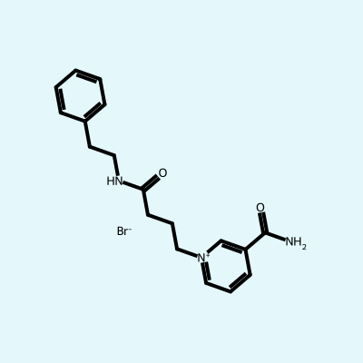 NC(=O)c1ccc[n+](CCCC(=O)NCCc2ccccc2)c1.[Br-]